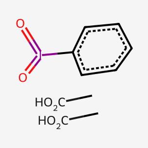 CC(=O)O.CC(=O)O.O=I(=O)c1ccccc1